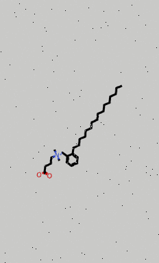 CCCCCCCCCCCCCCCCc1ccccc1C[N+](C)(C)CCCC(=O)[O-]